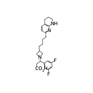 O=C(O)CC(c1cc(F)cc(F)c1)N1CC(CCCCc2ccc3c(n2)NCCC3)C1